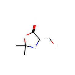 CC1(C)N[C@@H](CO)C(=O)O1